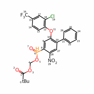 CC(C)(C)C(=O)OCO[PH](=O)c1cc(Oc2ccc(C(F)(F)F)cc2Cl)c(-c2ccccc2)cc1[N+](=O)[O-]